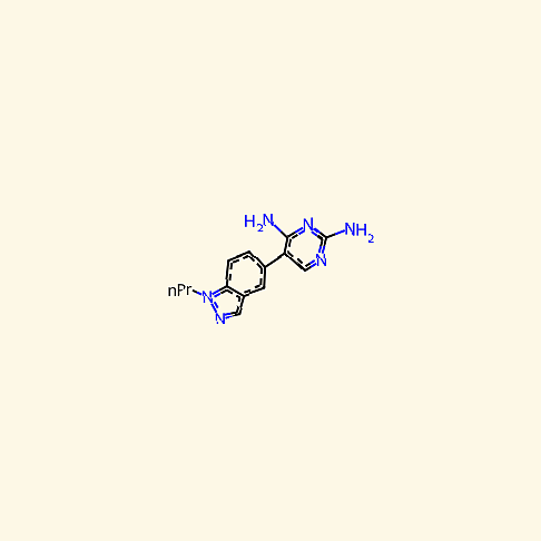 CCCn1ncc2cc(-c3cnc(N)nc3N)ccc21